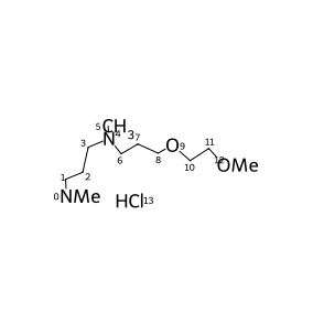 CNCCCN(C)CCCOCCOC.Cl